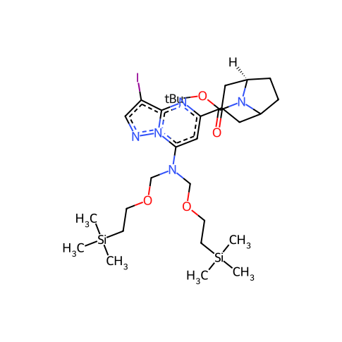 CC(C)(C)OC(=O)N1C2CC[C@@H]1CC(c1cc(N(COCC[Si](C)(C)C)COCC[Si](C)(C)C)n3ncc(I)c3n1)C2